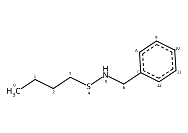 CCCCSNCc1ccccc1